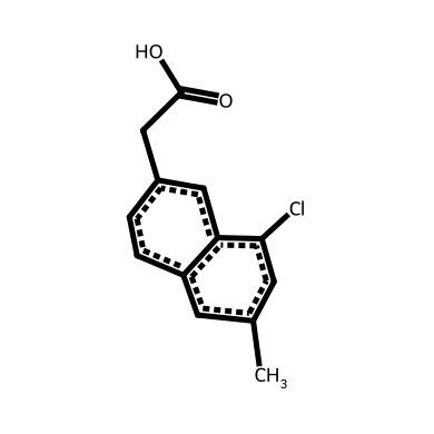 Cc1cc(Cl)c2cc(CC(=O)O)ccc2c1